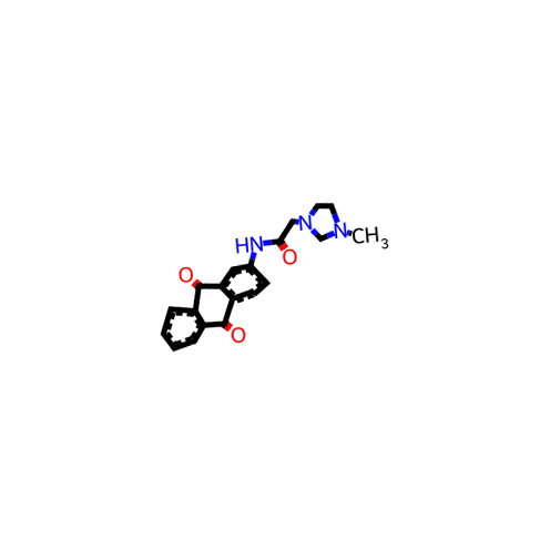 CN1CCN(CC(=O)Nc2ccc3c(c2)C(=O)c2ccccc2C3=O)C1